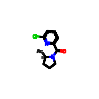 CC(=O)[C@@H]1CCCN1C(=O)c1cccc(Cl)n1